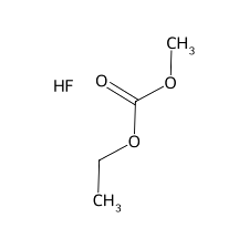 CCOC(=O)OC.F